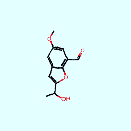 COc1cc(C=O)c2oc(C(C)O)cc2c1